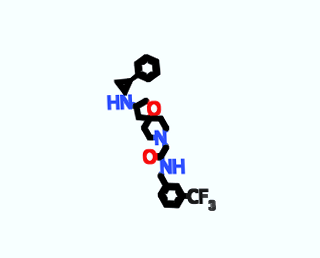 O=C(CN1CCC2(CC1)CC(N[C@@H]1C[C@H]1c1ccccc1)CO2)NCc1cccc(C(F)(F)F)c1